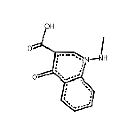 CNn1cc(C(=O)O)c(=O)c2ccccc21